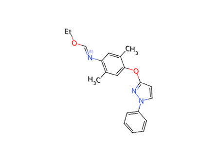 CCO/C=N/c1cc(C)c(Oc2ccn(-c3ccccc3)n2)cc1C